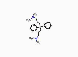 CN(C)CCC[Si](CCCN(C)C)(c1ccccc1)c1ccccc1